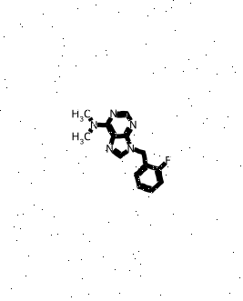 CN(C)c1ncnc2c1ncn2Cc1ccccc1F